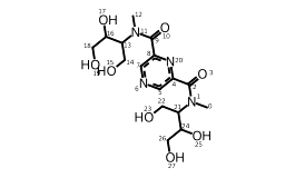 CN(C(=O)c1cncc(C(=O)N(C)C(CO)C(O)CO)n1)C(CO)C(O)CO